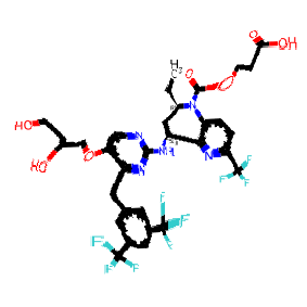 CC[C@@H]1C[C@H](Nc2ncc(OCC(O)CO)c(Cc3cc(C(F)(F)F)cc(C(F)(F)F)c3)n2)c2nc(C(F)(F)F)ccc2N1C(=O)OCCC(=O)O